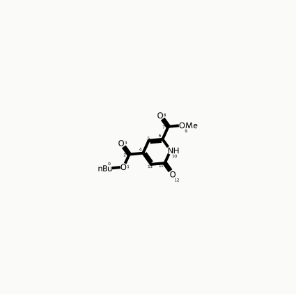 CCCCOC(=O)c1cc(C(=O)OC)[nH]c(=O)c1